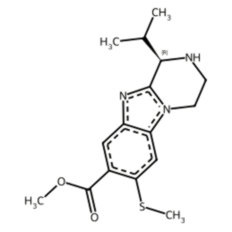 COC(=O)c1cc2nc3n(c2cc1SC)CCN[C@@H]3C(C)C